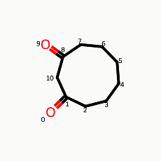 O=C1CCCCCCC(=O)C1